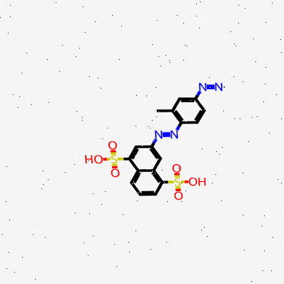 Cc1cc(N=[N])ccc1N=Nc1cc(S(=O)(=O)O)c2cccc(S(=O)(=O)O)c2c1